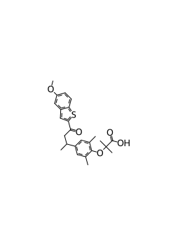 COc1ccc2sc(C(=O)CC(C)c3cc(C)c(OC(C)(C)C(=O)O)c(C)c3)cc2c1